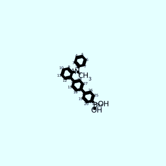 CN(c1ccccc1)c1ccccc1-c1ccc(-c2ccc(B(O)O)cc2)cc1